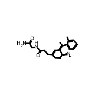 C/N=C1\C=CC(CCC(=O)NCC(N)=O)=C\C1=C(/C)c1ccccc1C